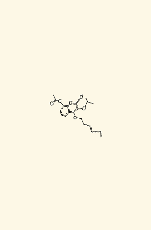 CCC=CCCOc1c(OC(C)C)c(=O)oc2c(OC(C)=O)cccc12